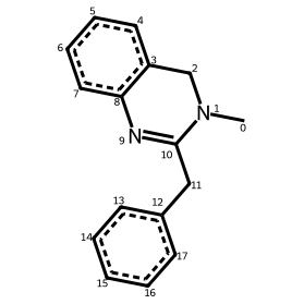 CN1Cc2ccccc2N=C1Cc1ccccc1